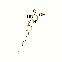 CCCCCCCCc1ccc(Sc2ncc(O)c(=O)[nH]2)cc1